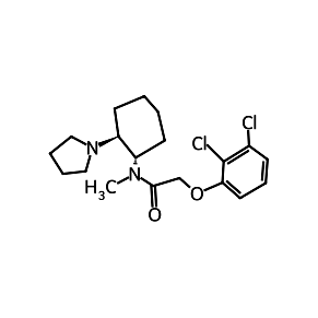 CN(C(=O)COc1cccc(Cl)c1Cl)[C@H]1CCCC[C@@H]1N1CCCC1